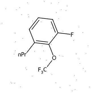 [CH2]CCc1cccc(F)c1OC(F)(F)F